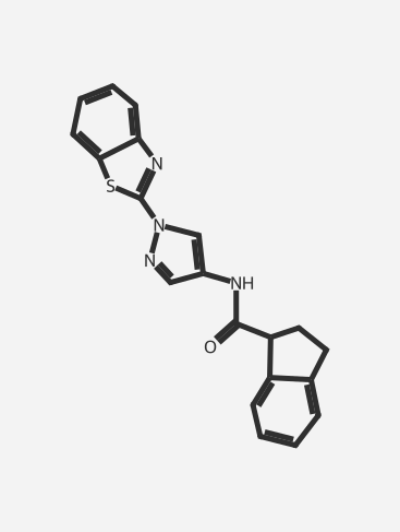 O=C(Nc1cnn(-c2nc3ccccc3s2)c1)C1CCc2ccccc21